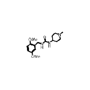 COc1ccc(OC)c(CNC(=O)NC2CCN(C)CC2)c1